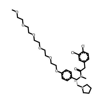 COCCOCCOCCOCCOCCOc1ccc([C@@H](CN2CCCC2)N(C)C(=O)Cc2ccc(Cl)c(Cl)c2)cc1